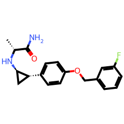 C[C@@H](N[C@@H]1C[C@H]1c1ccc(OCc2cccc(F)c2)cc1)C(N)=O